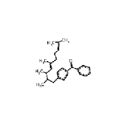 CC(C)=CCC/C(C)=C/C(C)C(C)Cc1ccc(C(=O)c2ccccc2)cc1